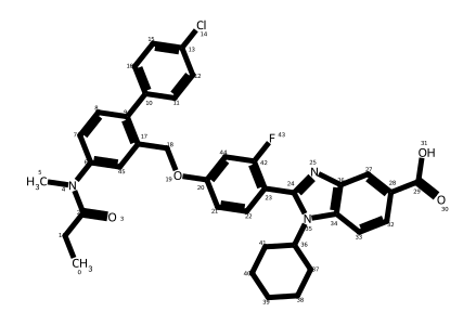 CCC(=O)N(C)c1ccc(-c2ccc(Cl)cc2)c(COc2ccc(-c3nc4cc(C(=O)O)ccc4n3C3CCCCC3)c(F)c2)c1